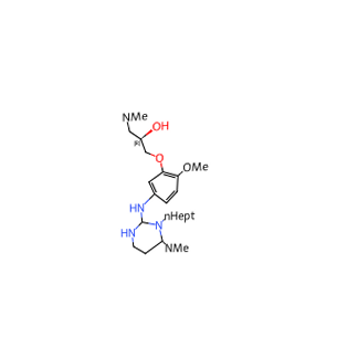 CCCCCCCN1C(NC)CCNC1Nc1ccc(OC)c(OC[C@H](O)CNC)c1